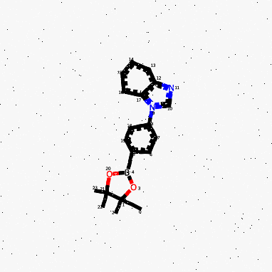 CC1(C)OB(c2ccc(-n3cnc4ccccc43)cc2)OC1(C)C